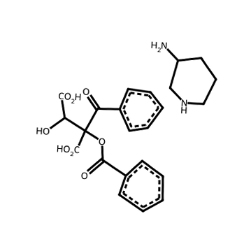 NC1CCCNC1.O=C(OC(C(=O)O)(C(=O)c1ccccc1)C(O)C(=O)O)c1ccccc1